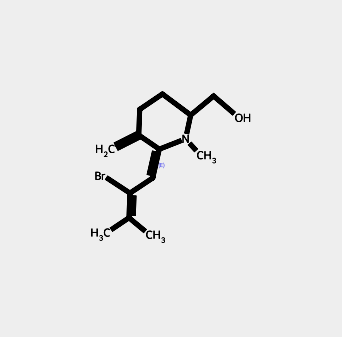 C=C1CCC(CO)N(C)/C1=C/C(Br)=C(C)C